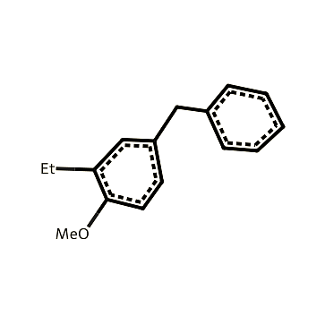 CCc1cc(Cc2ccccc2)ccc1OC